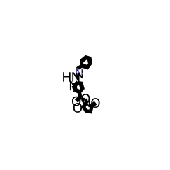 O=C(ON1C(=O)CCC1=O)c1ccc(N/N=C/c2ccccc2)nc1